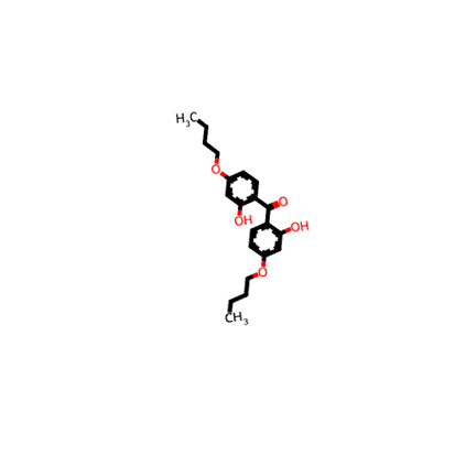 CCCCOc1ccc(C(=O)c2ccc(OCCCC)cc2O)c(O)c1